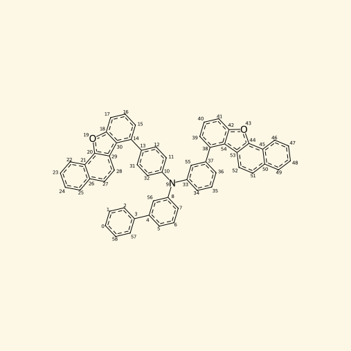 c1ccc(-c2cccc(N(c3ccc(-c4cccc5oc6c7ccccc7ccc6c45)cc3)c3cccc(-c4cccc5oc6c7ccccc7ccc6c45)c3)c2)cc1